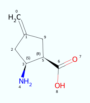 C=C1C[C@H](N)[C@H](C(=O)O)C1